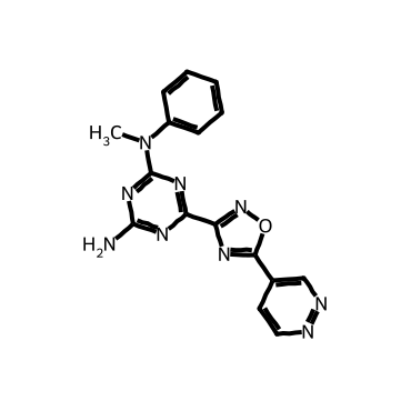 CN(c1ccccc1)c1nc(N)nc(-c2noc(-c3ccnnc3)n2)n1